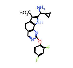 NC(c1[nH]c2c(c1C(=O)O)CCc1cnc(Oc3ccc(F)cc3F)nc1-2)C1CC1